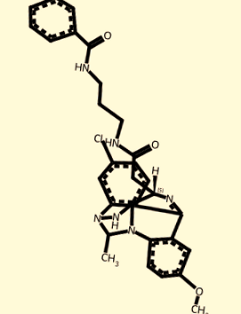 COc1ccc2c(c1)C1=N[C@@H](CC(=O)NCCCNC(=O)c3ccccc3)C3NN(c4cc(Cl)ccc41)C(C)N23